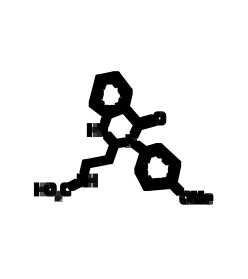 COc1ccc(N2C(=O)c3ccccc3NC2CCNC(=O)O)cc1